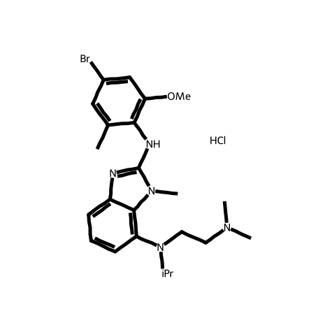 COc1cc(Br)cc(C)c1Nc1nc2cccc(N(CCN(C)C)C(C)C)c2n1C.Cl